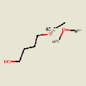 CC(=O)O.CCCOCCC.OCCCCO